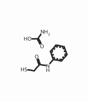 NC(=O)O.O=C(CS)Nc1ccccc1